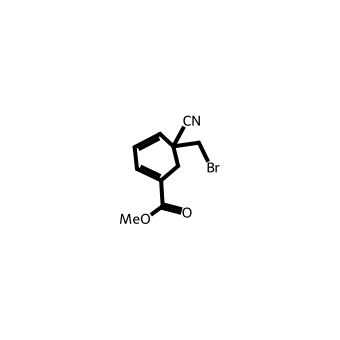 COC(=O)C1=CC=CC(C#N)(CBr)C1